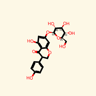 O=C1c2c(O)cc(O[C@@H]3O[C@H](CO)[C@@H](O)[C@H](O)[C@H]3O)cc2OCC1c1ccc(O)cc1